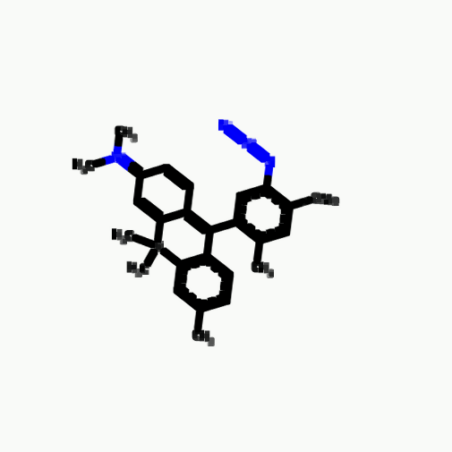 COc1cc(C)c(C2=C3C=CC(=[N+](C)C)C=C3[Si](C)(C)c3cc(C)ccc32)cc1N=[N+]=[N-]